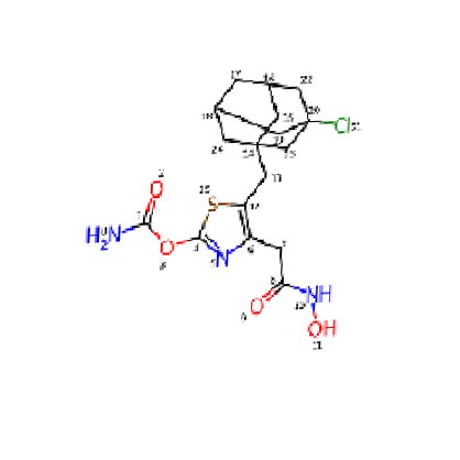 NC(=O)Oc1nc(CC(=O)NO)c(CC23CC4CC(CC(Cl)(C4)C2)C3)s1